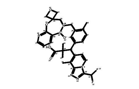 Cc1ccc(C(c2ccn3c(C(F)F)nnc3c2C)C(C)(C)C(=O)O)cc1CN1CC2(COC2)Oc2ncccc2[S+]1[O-]